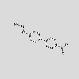 N=NNc1ccc(-c2ccc([N+](=O)[O-])cc2)cc1